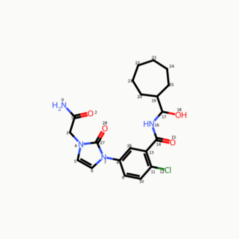 NC(=O)Cn1ccn(-c2ccc(Cl)c(C(=O)NC(O)C3CCCCCC3)c2)c1=O